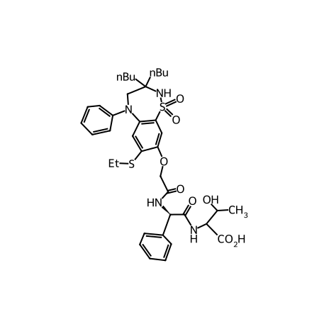 CCCCC1(CCCC)CN(c2ccccc2)c2cc(SCC)c(OCC(=O)N[C@@H](C(=O)NC(C(=O)O)C(C)O)c3ccccc3)cc2S(=O)(=O)N1